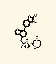 Cn1c(=O)oc2ccc(-c3ccc(C[C@@H](C#N)NC(=O)[C@@H]4CNCCCO4)c4ccsc34)cc21